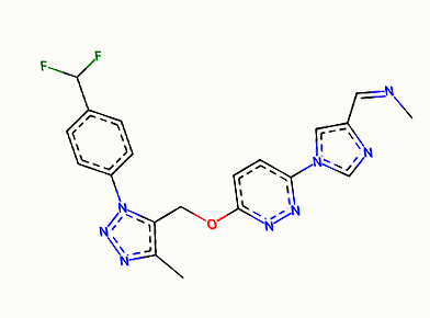 C/N=C\c1cn(-c2ccc(OCc3c(C)nnn3-c3ccc(C(F)F)cc3)nn2)cn1